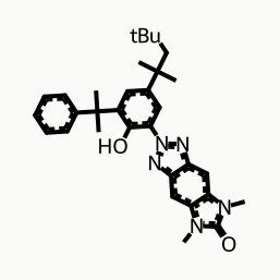 Cn1c(=O)n(C)c2cc3nn(-c4cc(C(C)(C)CC(C)(C)C)cc(C(C)(C)c5ccccc5)c4O)nc3cc21